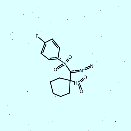 [N-]=[N+]=C(C1([SH](=O)=O)CCCCC1)S(=O)(=O)c1ccc(F)cc1